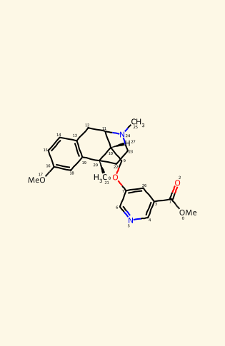 COC(=O)c1cncc(OC[C@H]2C3Cc4ccc(OC)cc4[C@@]2(C)CCN3C)c1